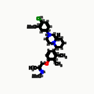 CON=C(C)COc1ccc([C@H]2CCC[C@H]3CN(c4ccc(Cl)c(OC)c4)CCN32)c(C)c1C